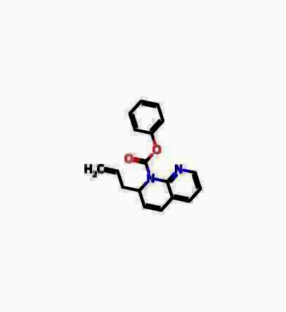 C=CCC1C=Cc2cccnc2N1C(=O)Oc1ccccc1